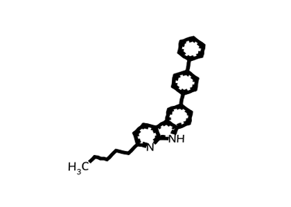 CCCCCc1ccc2c(n1)[nH]c1ccc(-c3ccc(-c4ccccc4)cc3)cc12